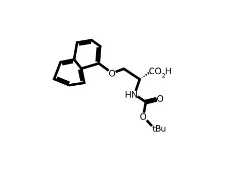 CC(C)(C)OC(=O)N[C@H](COc1cccc2ccccc12)C(=O)O